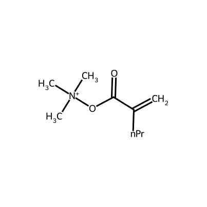 C=C(CCC)C(=O)O[N+](C)(C)C